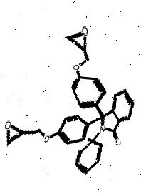 CC1(N2C(=O)c3ccccc3C2(c2ccc(OCC3CO3)cc2)c2ccc(OCC3CO3)cc2)C=CC=CC1